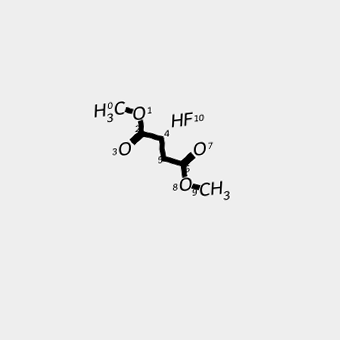 COC(=O)CCC(=O)OC.F